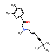 Cc1ccc(C(=O)CN(C)C/C=C/C#CC(C)(C)C)cc1C